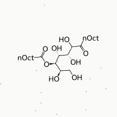 CCCCCCCCC(=O)O[C@@H]([C@H](O)[C@@H](O)C(O)C(=O)CCCCCCCC)[C@H](O)CO